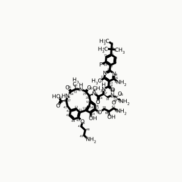 CCC(C)(C)c1ccc(-c2nc(C)c(C(=O)N[C@@H](CNS(N)(=O)=O)C(=O)N(C)[C@@H]3C(=O)N[C@@H](C)C(=O)N[C@H](C(=O)O)Cc4ccc(OCCCN)c(c4)-c4cc3cc(OC[C@H](O)CN)c4O)c(N)n2)c(F)c1